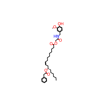 CCCCCC[C@H](C/C=C\CCCCCCCC(=O)OCC(=O)NCc1ccc(O)c(OC)c1)OC(=O)Cc1ccccc1